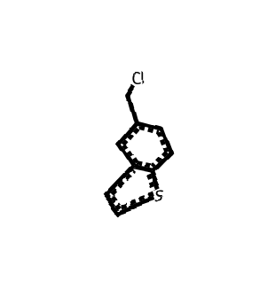 ClCc1ccc2sccc2c1